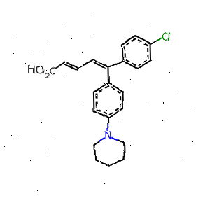 O=C(O)C=CC=C(c1ccc(Cl)cc1)c1ccc(N2CCCCC2)cc1